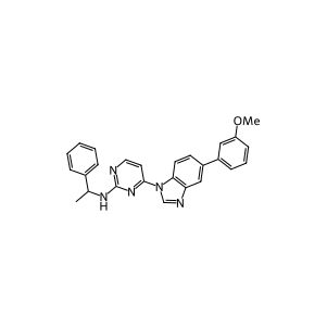 COc1cccc(-c2ccc3c(c2)ncn3-c2ccnc(NC(C)c3ccccc3)n2)c1